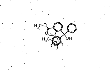 COC(=O)c1cccc(C(O)(c2ccccc2)c2ccccc2)c1S(=O)(=O)C(C)(C)C